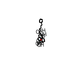 O=C(NCCCCc1ccccc1)[C@H](Cc1ccc(C(F)(F)P(=O)(O)O)cc1)NS(=O)(=O)c1ccccc1